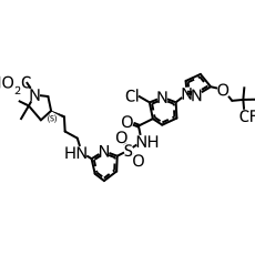 CC1(C)C[C@H](CCCNc2cccc(S(=O)(=O)NC(=O)c3ccc(-n4ccc(OCC(C)(C)C(F)(F)F)n4)nc3Cl)n2)CN1C(=O)O